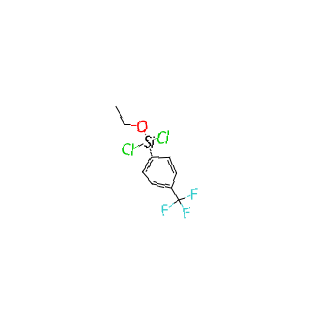 CCO[Si](Cl)(Cl)c1ccc(C(F)(F)F)cc1